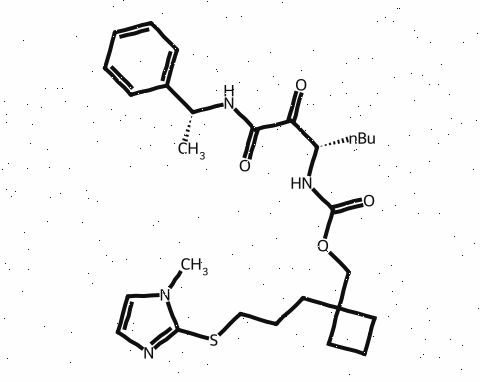 CCCC[C@H](NC(=O)OCC1(CCCSc2nccn2C)CCC1)C(=O)C(=O)N[C@H](C)c1ccccc1